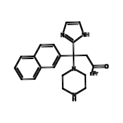 CCCC(=O)CC(c1ccc2ccccc2c1)(c1ncc[nH]1)N1CCNCC1